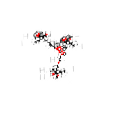 CC(=O)NC1[C@H](OCCCCC(=O)NCCCN(CCCN(CCCNC(=O)CCCCO[C@@H]2OC(COC(C)=O)[C@H](OC(C)=O)[C@H](OC(C)=O)C2NC(C)=O)C(c2ccccc2)(c2ccccc2)c2ccccc2)C(=O)CCCCO[C@@H]2OC(COC(C)=O)[C@H](OC(C)=O)[C@H](OC(C)=O)C2NC(C)=O)OC(COC(C)=O)[C@H](OC(C)=O)[C@@H]1OC(C)=O